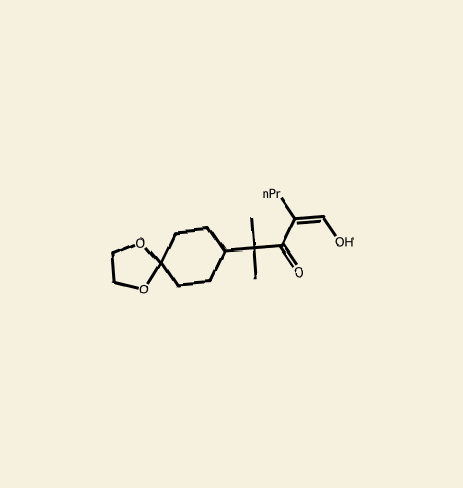 CCC/C(=C/O)C(=O)C(C)(C)C1CCC2(CC1)OCCO2